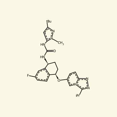 CC(C)c1nnc2ccc(O[C@@H]3CC[C@H](NC(=O)Nc4cc(C(C)(C)C)nn4C)c4cc(F)ccc43)cn12